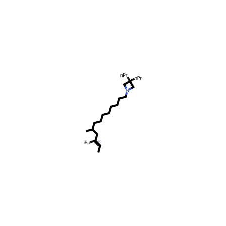 C/C=C(/CC(C)CCCCCCCCN1CC(CCC)(CCC)C1)C(C)CC